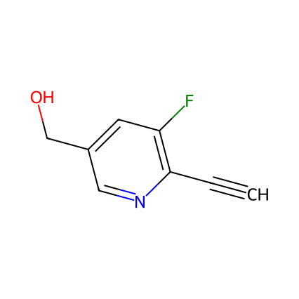 C#Cc1ncc(CO)cc1F